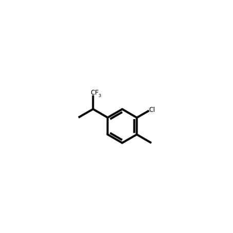 Cc1ccc(C(C)C(F)(F)F)cc1Cl